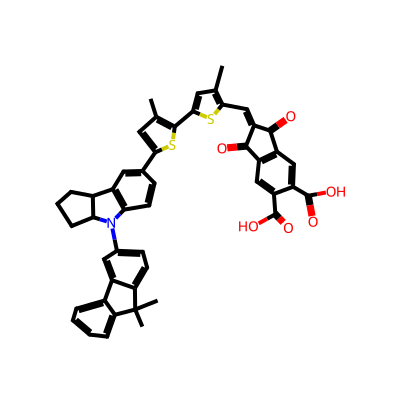 Cc1cc(-c2sc(-c3ccc4c(c3)C3CCCC3N4c3ccc4c(c3)-c3ccccc3C4(C)C)cc2C)sc1C=C1C(=O)c2cc(C(=O)O)c(C(=O)O)cc2C1=O